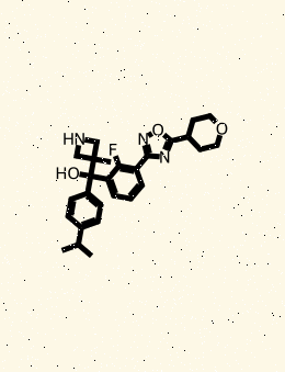 CC(C)c1ccc(C(O)(c2cccc(-c3noc(C4CCOCC4)n3)c2F)C2(C)CNC2)cc1